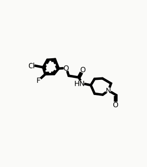 O=CN1CCCC(NC(=O)COc2ccc(Cl)c(F)c2)CC1